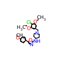 CCOc1cc(CN2CCC(Nc3ncc(-c4ccc(OC)cc4)o3)CC2)cc(OCC)c1Cl